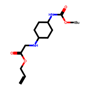 C=CCOC(=O)CNC1CCC(NC(=O)OC(C)(C)C)CC1